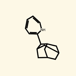 C1=CC=C(C2[C]3CC4CC(C3)CC2C4)NC=C1